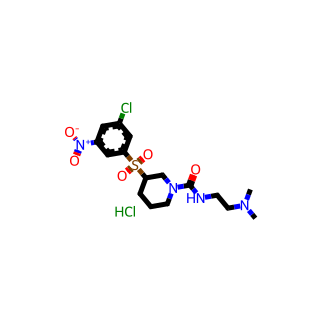 CN(C)CCNC(=O)N1CCCC(S(=O)(=O)c2cc(Cl)cc([N+](=O)[O-])c2)C1.Cl